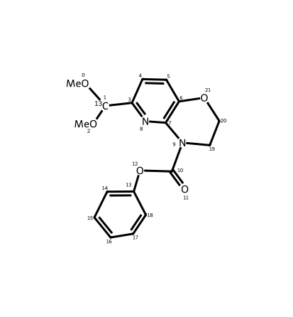 CO[13CH](OC)c1ccc2c(n1)N(C(=O)Oc1ccccc1)CCO2